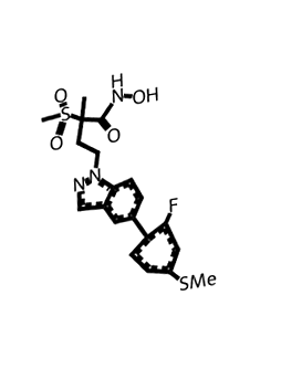 CSc1ccc(-c2ccc3c(cnn3CCC(C)(C(=O)NO)S(C)(=O)=O)c2)c(F)c1